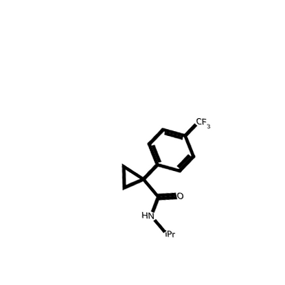 CC(C)NC(=O)C1(c2ccc(C(F)(F)F)cc2)CC1